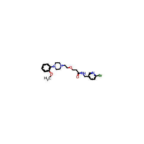 COc1ccccc1N1CCN(CCOCCC(=O)NCc2ccc(Br)nc2)CC1